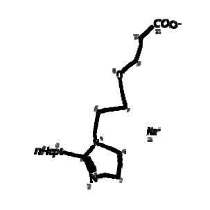 CCCCCCCC1=NCCN1CCOCCC(=O)[O-].[Na+]